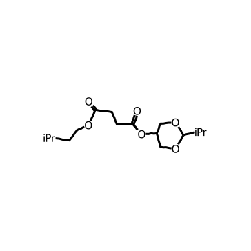 CC(C)CCOC(=O)CCC(=O)OC1COC(C(C)C)OC1